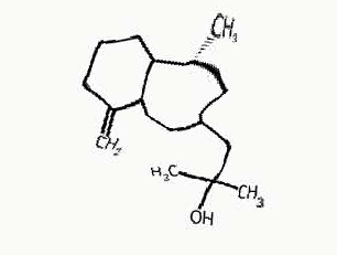 C=C1CCCC2C1CC(CC(C)(C)O)C[C@H]2C